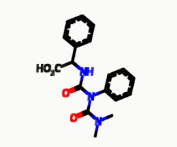 CN(C)C(=O)N(C(=O)NC(C(=O)O)c1ccccc1)c1ccccc1